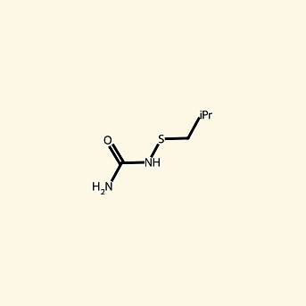 CC(C)CSNC(N)=O